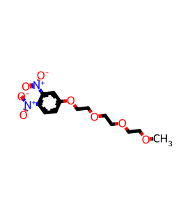 COCCOCCOCCOc1ccc([N+](=O)[O-])c([N+](=O)[O-])c1